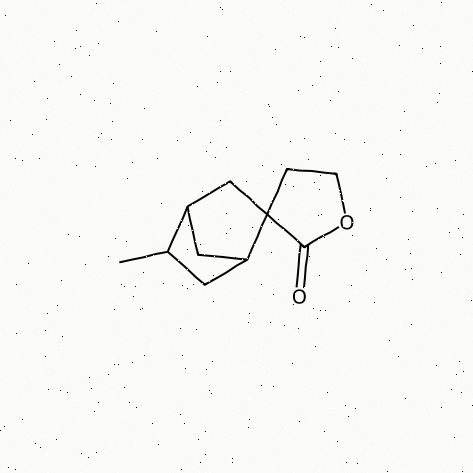 CC1CC2CC1CC21CCOC1=O